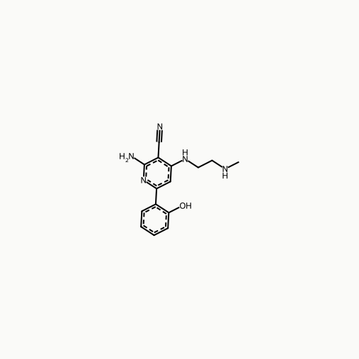 CNCCNc1cc(-c2ccccc2O)nc(N)c1C#N